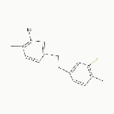 CCc1cc(CCc2ccc(C)c(F)c2)ccc1C